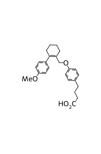 COc1ccc(C2=C(COc3ccc(CCCC(=O)O)cc3)CCCC2)cc1